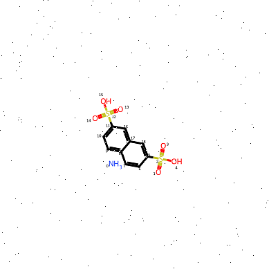 N.O=S(=O)(O)c1ccc2ccc(S(=O)(=O)O)cc2c1